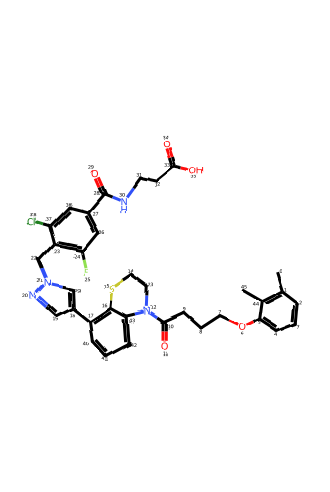 Cc1cccc(OCCCC(=O)N2CCSc3c(-c4cnn(Cc5c(F)cc(C(=O)NCCC(=O)O)cc5Cl)c4)cccc32)c1C